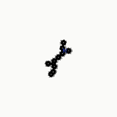 c1ccc(-c2ccc3c4cc(-c5ccc(-c6ccc7c(c6)-c6ccc(-c8ccc9ccccc9c8)cc6C7c6ccccc6)cc5)ccc4n(-c4ccccc4)c3c2)cc1